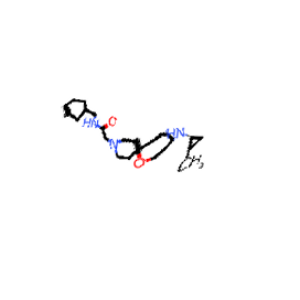 C[C@@H]1C[C@H]1NC1COC2(CCN(CC(=O)NCC3CCCCC3)CC2)C1